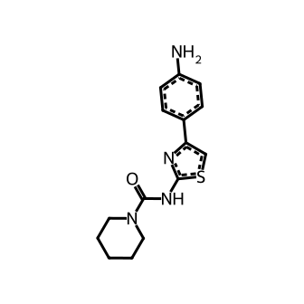 Nc1ccc(-c2csc(NC(=O)N3CCCCC3)n2)cc1